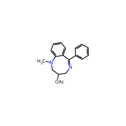 CC(=O)OC1CN=C(c2ccccc2)c2ccccc2N(C)C1